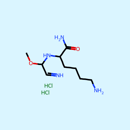 COC(C=N)NC(CCCCN)C(N)=O.Cl.Cl